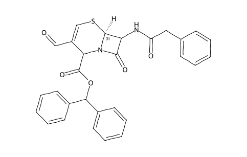 O=CC1=CS[C@H]2C(NC(=O)Cc3ccccc3)C(=O)N2C1C(=O)OC(c1ccccc1)c1ccccc1